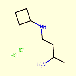 CC(N)CCNC1CCC1.Cl.Cl